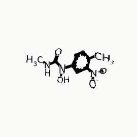 CNC(=O)N(O)c1ccc(C)c([N+](=O)[O-])c1